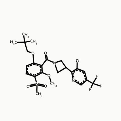 COc1c(S(C)(=O)=O)ccc(OCC(C)(C)C)c1C(=O)N1CC(c2ncc(C(F)(F)F)cc2Cl)C1